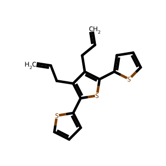 C=CCc1c(-c2cccs2)sc(-c2cccs2)c1CC=C